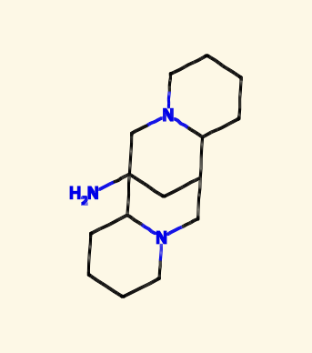 NC12CC(CN3CCCCC31)C1CCCCN1C2